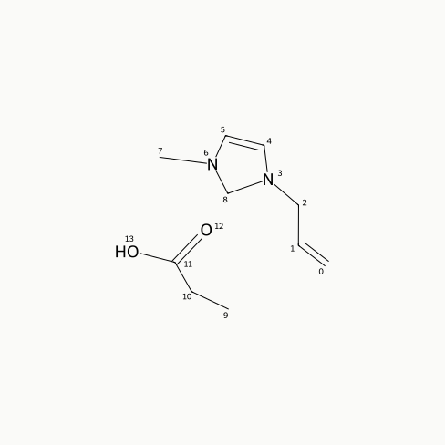 C=CCN1C=CN(C)C1.CCC(=O)O